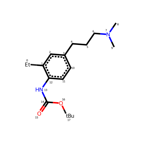 CCc1cc(CCCN(C)C)ccc1NC(=O)OC(C)(C)C